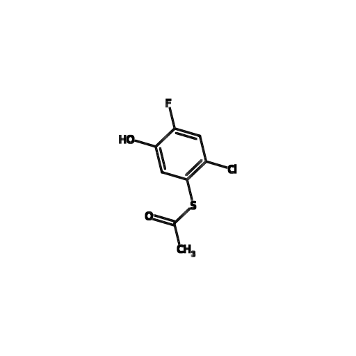 CC(=O)Sc1cc(O)c(F)cc1Cl